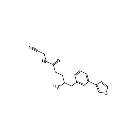 CC(CCC(=O)NCC#N)Cc1cccc(-c2ccoc2)c1